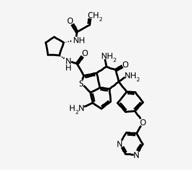 C=CC(=O)N[C@H]1CCC[C@H]1NC(=O)c1sc2c(N)ccc3c2c1C(N)C(=O)C3(N)c1ccc(Oc2cncnc2)cc1